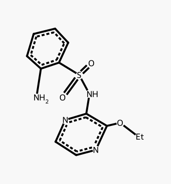 CCOc1nccnc1NS(=O)(=O)c1ccccc1N